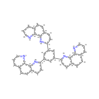 c1cnc2c(c1)ccc1ccc(-c3cc(-c4ccc5ccc6cccnc6c5n4)cc(-c4ccc5ccc6cccnc6c5n4)c3)nc12